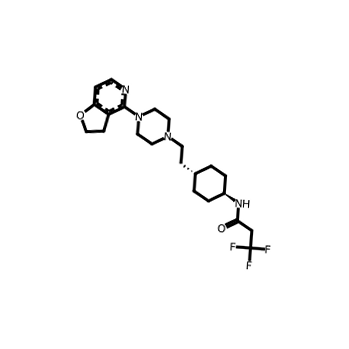 O=C(CC(F)(F)F)N[C@H]1CC[C@H](CCN2CCN(c3nccc4c3CCO4)CC2)CC1